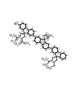 CCCCC1(CCC(C)C)c2ccccc2-c2ccc(-c3ccc4c(c3)C(CC)(CC)c3cc(-c5ccc6c(c5)C(CCC(C)C)(CCC(C)C)c5cc(Br)ccc5-6)ccc3-4)cc21